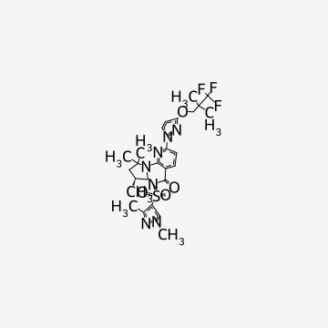 Cc1nn(C)cc1S(=O)(=O)N1C(=O)c2ccc(-n3ccc(OCC(C)(C)C(F)(F)F)n3)nc2N2C1[C@@H](C)CC2(C)C